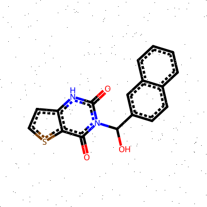 O=c1[nH]c2ccsc2c(=O)n1C(O)c1ccc2ccccc2c1